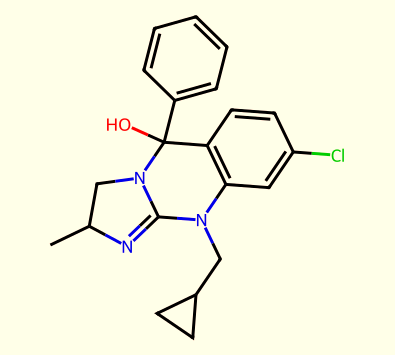 CC1CN2C(=N1)N(CC1CC1)c1cc(Cl)ccc1C2(O)c1ccccc1